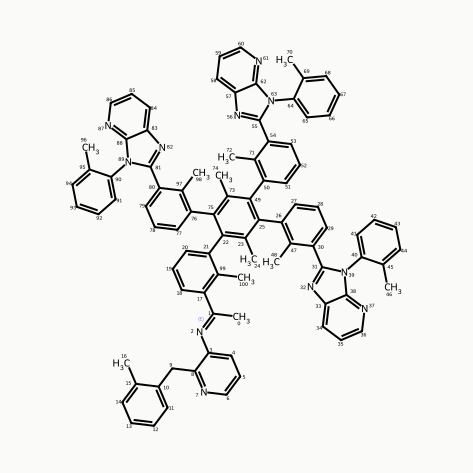 C/C(=N\c1cccnc1Cc1ccccc1C)c1cccc(-c2c(C)c(-c3cccc(-c4nc5cccnc5n4-c4ccccc4C)c3C)c(-c3cccc(-c4nc5cccnc5n4-c4ccccc4C)c3C)c(C)c2-c2cccc(-c3nc4cccnc4n3-c3ccccc3C)c2C)c1C